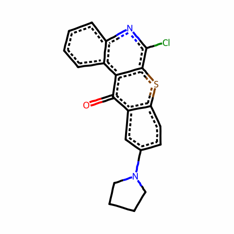 O=c1c2cc(N3CCCC3)ccc2sc2c(Cl)nc3ccccc3c12